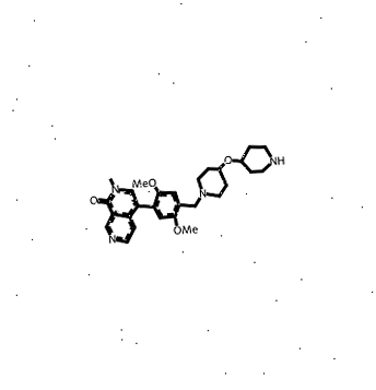 COc1cc(-c2cn(C)c(=O)c3cnccc23)c(OC)cc1CN1CCC(OC2CCNCC2)CC1